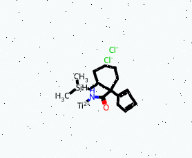 C[SiH](C)CC1CCCCC1(C(=O)[NH][Ti+2])C1=CC=CC1.[Cl-].[Cl-]